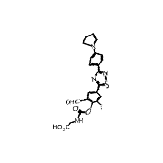 O=Cc1cc(-c2nc(-c3ccc(N4CCCC4)cc3)ns2)cc(F)c1OC(=O)NCC(=O)O